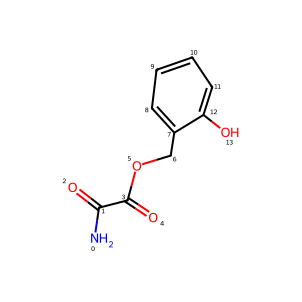 NC(=O)C(=O)OCc1ccccc1O